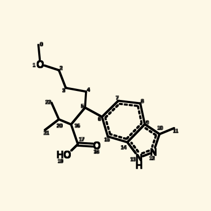 COCCCC(c1ccc2c(C)n[nH]c2c1)C(C(=O)O)C(C)C